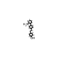 Nc1ncccc1-c1cnc(C=Cc2ccc(O)cc2)cn1